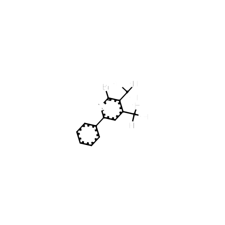 [2H]C([2H])([2H])c1cc(-c2ccccc2)nc(Br)c1C([2H])([2H])[2H]